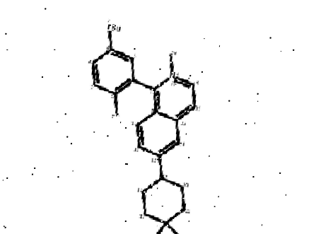 Cc1ccc(C(C)(C)C)cc1-c1c2ccc(C3CCC(C)(C)CC3)cc2cc[n+]1C